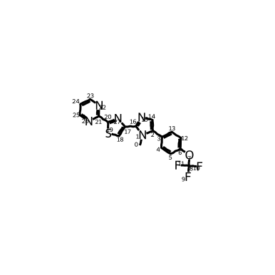 Cn1c(-c2ccc(OC(F)(F)F)cc2)cnc1-c1csc(-c2ncccn2)n1